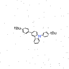 CC(C)(C)c1ccc(-c2ccc3c(c2)c2ccccc2n3-c2ccc(C(C)(C)C)cc2)cc1